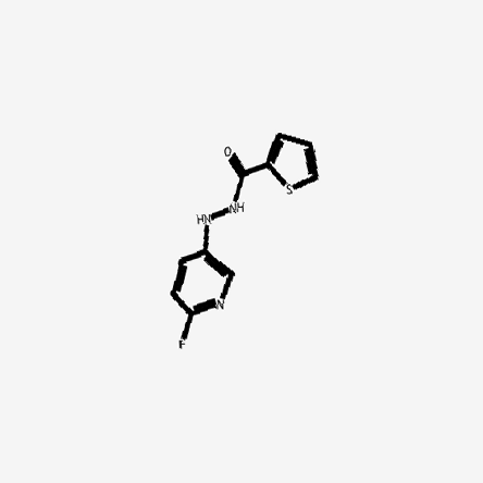 O=C(NNc1ccc(F)nc1)c1cccs1